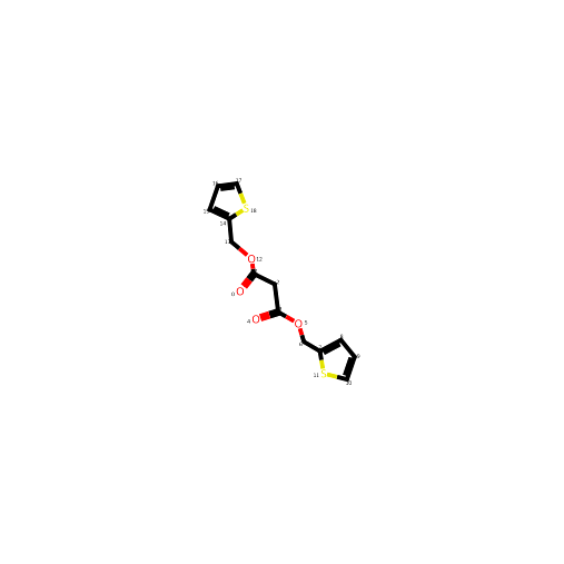 O=C(CC(=O)OCc1cccs1)OCc1cccs1